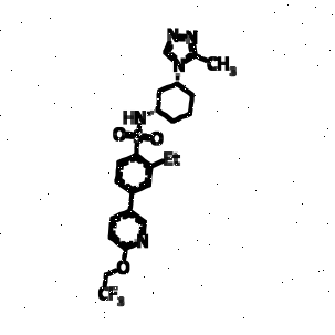 CCc1cc(-c2ccc(OCC(F)(F)F)nc2)ccc1S(=O)(=O)N[C@H]1CCC[C@@H](n2cnnc2C)C1